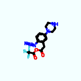 [N-]=[N+]=Nc1ccc(N2CCNCC2)cc1CC(=O)OC(=O)C(F)(F)F